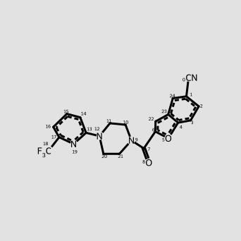 N#Cc1ccc2oc(C(=O)N3CCN(c4cccc(C(F)(F)F)n4)CC3)cc2c1